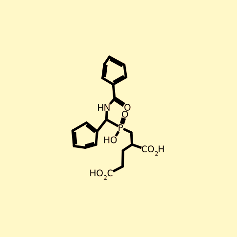 O=C(O)CCC(CP(=O)(O)C(NC(=O)c1ccccc1)c1ccccc1)C(=O)O